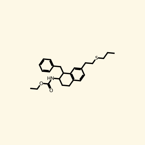 CCCSCCc1ccc2c(c1)C(Cc1ccccc1)C(NC(=O)OCC)CC2